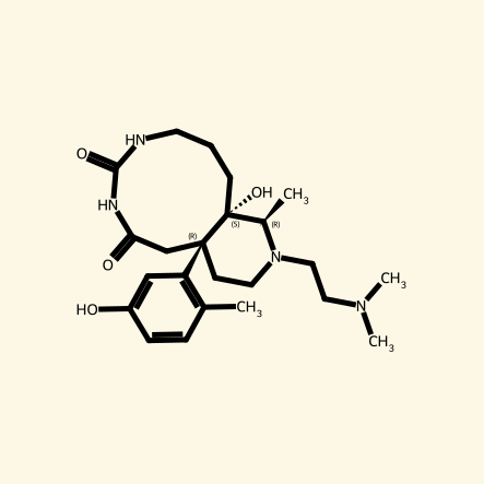 Cc1ccc(O)cc1[C@]12CCN(CCN(C)C)[C@H](C)[C@]1(O)CCCNC(=O)NC(=O)C2